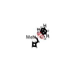 CN[C@@H](CC1CCC1)B1O[C@@H]2C[C@@H]3C[C@@H](C3(C)C)[C@]2(C)O1